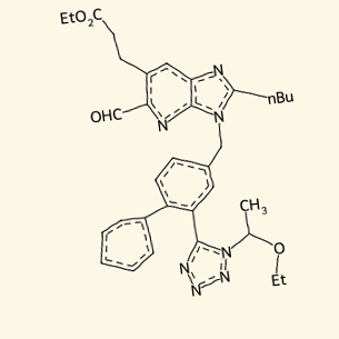 CCCCc1nc2cc(CCC(=O)OCC)c(C=O)nc2n1Cc1ccc(-c2ccccc2)c(-c2nnnn2C(C)OCC)c1